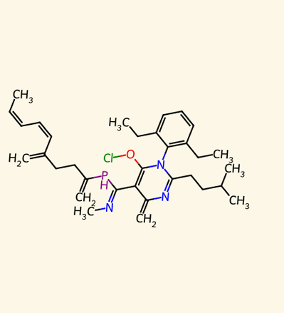 C=C(/C=C\C=C/C)CCC(=C)P/C(=N\C)C1=C(OCl)N(c2c(CC)cccc2CC)C(CCC(C)C)=NC1=C